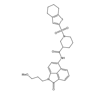 COCCCN1C(=O)c2cccc3c(NC(=O)C4CCCN(S(=O)(=O)c5cc6c(s5)CCCC6)C4)ccc1c23